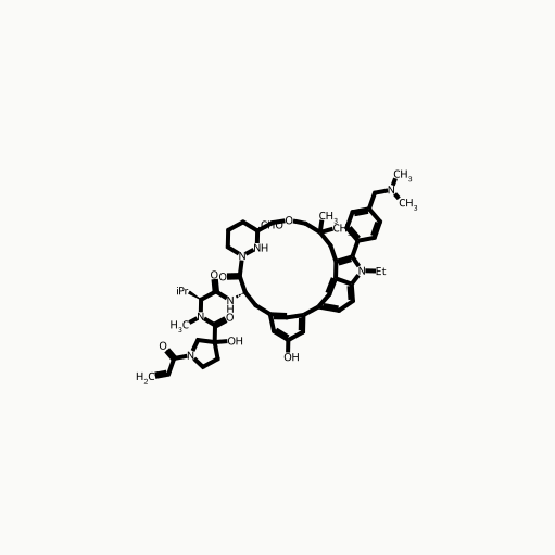 C=CC(=O)N1CCC(O)(C(=O)N(C)[C@H](C(=O)N[C@H]2Cc3cc(O)cc(c3)-c3ccc4c(c3)c(c(-c3ccc(CN(C)C)cc3)n4CC)CC(C)(C)COC[C@@]3(C=O)CCCN(N3)C2=O)C(C)C)C1